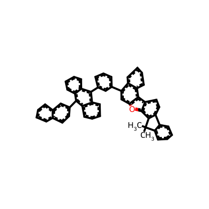 CC1(C)c2ccccc2-c2ccc3c(oc4cc(-c5cccc(-c6c7ccccc7c(-c7ccc8ccccc8c7)c7ccccc67)c5)c5ccccc5c43)c21